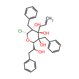 C=CC[C@]1(O)[C@](O)(Cc2ccccc2)[C@@H](C(O)Cc2ccccc2)O[C@H](Cl)[C@@]1(O)Cc1ccccc1